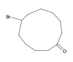 O=C1CCCCCC(Br)CCCC1